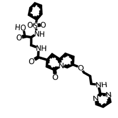 O=C(NCC(NS(=O)(=O)c1ccccc1)C(=O)O)c1cc(=O)n2cc(OCCCNc3ncccn3)ccc2c1